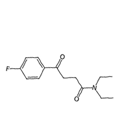 CCN(CC)C(=O)CCC(=O)c1ccc(F)cc1